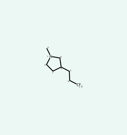 CN1CCC(CCC(F)(F)F)C1